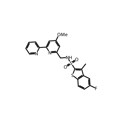 COc1cc(CNS(=O)(=O)c2sc3ccc(F)cc3c2C)nc(-c2ccccn2)c1